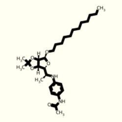 CCCCCCCCCCCCO[C@H]1O[C@H]([C@H](C)Nc2ccc(NC(C)=O)cc2)[C@@H]2OC(C)(C)O[C@H]12